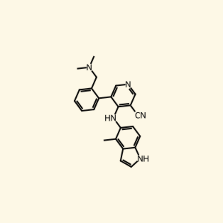 Cc1c(Nc2c(C#N)cncc2-c2ccccc2CN(C)C)ccc2[nH]ccc12